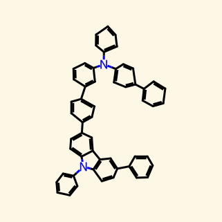 c1ccc(-c2ccc(N(c3ccccc3)c3cccc(-c4ccc(-c5ccc6c(c5)c5cc(-c7ccccc7)ccc5n6-c5ccccc5)cc4)c3)cc2)cc1